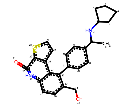 CC(NC1CCCC1)c1ccc(-c2c(CO)ccc3[nH]c(=O)c4sccc4c23)cc1